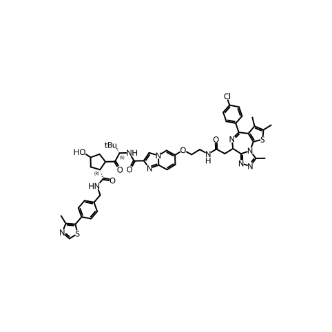 Cc1ncsc1-c1ccc(CNC(=O)[C@@H]2CC(O)CC2C(=O)[C@@H](NC(=O)c2cn3cc(OCCNC(=O)CC4N=C(c5ccc(Cl)cc5)c5c(sc(C)c5C)-n5c(C)nnc54)ccc3n2)C(C)(C)C)cc1